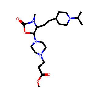 COC(=O)CCN1CCN(C2OC(=O)N(C)C2CCC2CCN(C(C)C)CC2)CC1